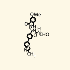 COc1ccc2c(c1)C(=O)N(C[C@H](NC(=O)NC=O)c1ccc(-c3ccc4nc(C)cn4c3)cc1)C2